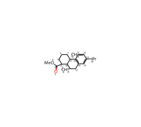 COC(=O)[C@@]1(C)CCC[C@@]2(C)c3ccc(C(C)C)cc3CCC21